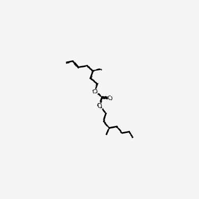 CCCCC(C)CCOC(=O)OCCC(C)CCCC